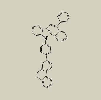 c1ccc(-c2cc3c4ccccc4n(-c4ccc(-c5ccc6c(ccc7ccccc76)c5)cc4)c3c3ccccc23)cc1